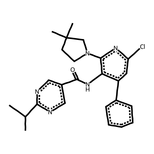 CC(C)c1ncc(C(=O)Nc2c(-c3ccccc3)cc(Cl)nc2N2CCC(C)(C)C2)cn1